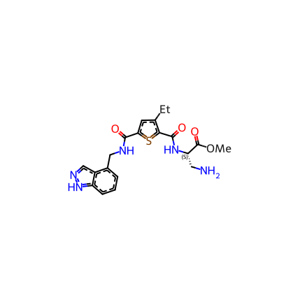 CCc1cc(C(=O)NCc2cccc3[nH]ncc23)sc1C(=O)N[C@@H](CN)C(=O)OC